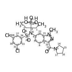 CCC(CC)(N(c1ccc2c(C(=O)N3CCCC3)nn(C)c2c1)S(=O)(=O)c1cc(Cl)cc(Cl)c1)P(=O)(O)O